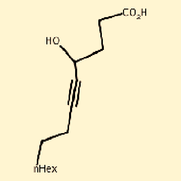 CCCCCCCCC#CC(O)CCC(=O)O